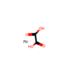 O=C(O)C(=O)O.[Pb]